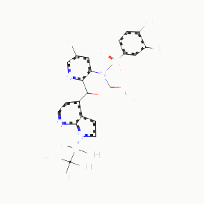 COCN(c1cc(C)cnc1C(O)c1ccnc2c1ccn2[Si](C)(C)C(C)(C)C)S(=O)(=O)c1ccc(Cl)c(Cl)c1